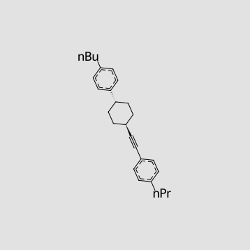 CCCCc1ccc([C@H]2CC[C@H](C#Cc3ccc(CCC)cc3)CC2)cc1